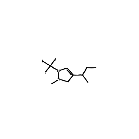 CCC(C)C1=CN(C(I)(I)I)N(C)C1